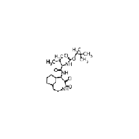 CC(C)C(NC(=O)OCC(C)(C)C)C(=O)NC1C(=O)C(=O)NCCC2CCCC1C2